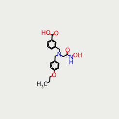 CCCOc1ccc(CN(CC(=O)NO)Cc2cccc(C(=O)O)c2)cc1